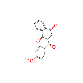 COc1ccc(C(=O)C2=CC(=O)c3ccccc3C2=O)cc1